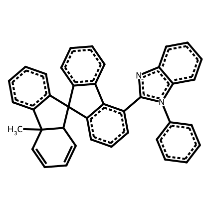 CC12C=CC=CC1C1(c3ccccc3-c3c(-c4nc5ccccc5n4-c4ccccc4)cccc31)c1ccccc12